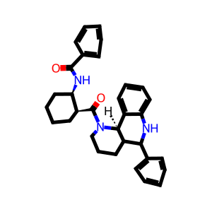 O=C(N[C@@H]1CCCC[C@@H]1C(=O)N1CCCC2C(c3ccccc3)Nc3ccccc3[C@@H]21)c1ccccc1